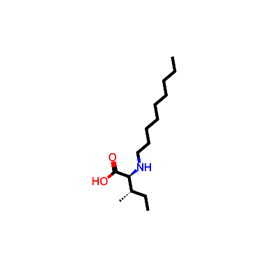 CCCCCCCCCN[C@H](C(=O)O)[C@@H](C)CC